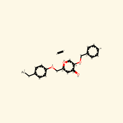 C=C.CC(=O)Cc1ccc(OCc2cc(=O)c(OCc3ccccc3)co2)cc1